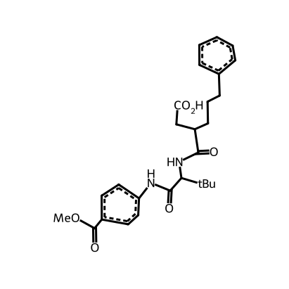 COC(=O)c1ccc(NC(=O)C(NC(=O)C(CCCc2ccccc2)CC(=O)O)C(C)(C)C)cc1